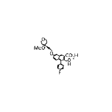 COC1(C#CCOc2ccc3c(-c4ccc(F)cc4)c(CO)c(C(=O)O)cc3c2)CCOCC1